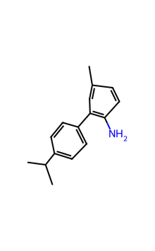 Cc1ccc(N)c(-c2ccc(C(C)C)cc2)c1